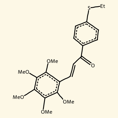 CCSc1ccc(C(=O)C=Cc2c(OC)c(OC)c(OC)c(OC)c2OC)cc1